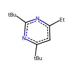 CCc1cc(C(C)(C)C)nc(C(C)(C)C)n1